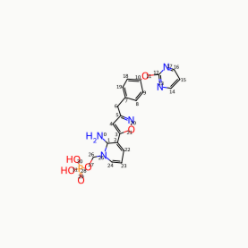 NC1C(c2cc(Cc3ccc(Oc4ncccn4)cc3)no2)=CC=CN1COP(=O)(O)O